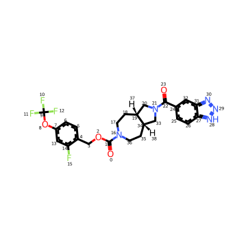 O=C(OCc1ccc(OC(F)(F)F)cc1F)N1CC[C@@H]2CN(C(=O)c3ccc4[nH]nnc4c3)C[C@@H]2CC1